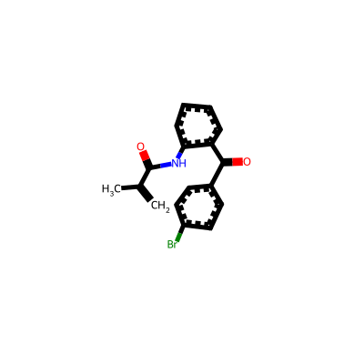 C=C(C)C(=O)Nc1ccccc1C(=O)c1ccc(Br)cc1